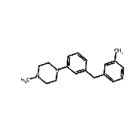 Cc1cccc(Cc2c[c]cc(N3CCN(C)CC3)c2)c1